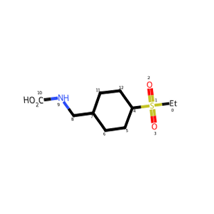 CCS(=O)(=O)C1CCC(CNC(=O)O)CC1